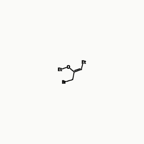 CC/C=C(/CBr)OCC